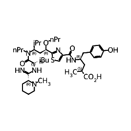 CCCO[C@H](C[C@H](C(C)C)N(CCC)C(=O)[C@@H](NC(=N)[C@H]1CCCCN1C)[C@@H](C)CC)c1nc(C(=O)N[C@@H](Cc2ccc(O)cc2)C[C@H](C)C(=O)O)cs1